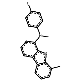 Cc1cccc2c1sc1c(N(I)c3ccc(F)cc3)cccc12